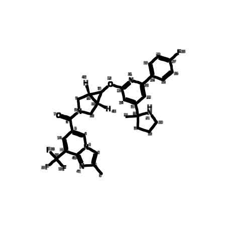 Cc1cn2cc(C(=O)N3C[C@@H]4C(Oc5cc(C6(C)CCCN6)cc(-c6ccc(F)cc6)n5)[C@@H]4C3)cc(C(F)(F)F)c2n1